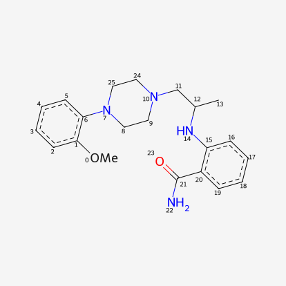 COc1ccccc1N1CCN(CC(C)Nc2ccccc2C(N)=O)CC1